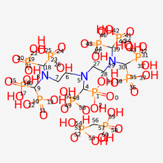 O=P(O)(O)C(N(CCN(C(P(=O)(O)O)P(=O)(O)O)C(P(=O)(O)O)P(=O)(O)O)CCN(C(P(=O)(O)O)P(=O)(O)O)C(P(=O)(O)O)P(=O)(O)O)P(=O)(O)O.O=P(O)(O)CP(=O)(O)O